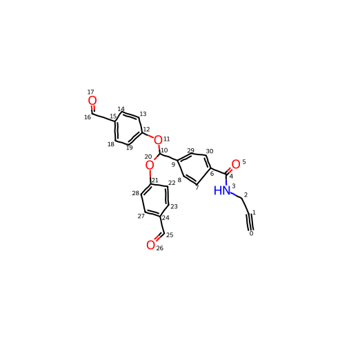 C#CCNC(=O)c1ccc(C(Oc2ccc(C=O)cc2)Oc2ccc(C=O)cc2)cc1